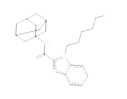 O=C(NC12CC3CC(CC(C3)C1)C2)c1nc2ccccc2n1CCCCCO